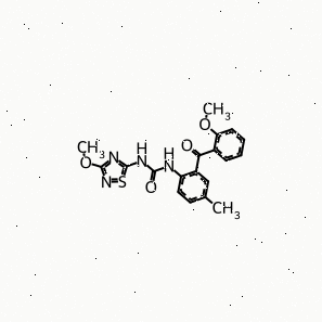 COc1nsc(NC(=O)Nc2ccc(C)cc2C(=O)c2ccccc2OC)n1